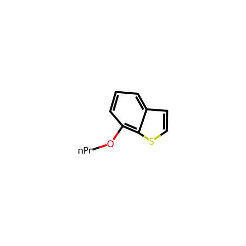 CCCOc1cccc2ccsc12